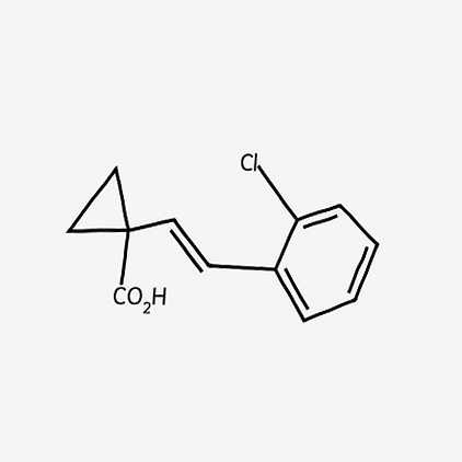 O=C(O)C1(/C=C/c2ccccc2Cl)CC1